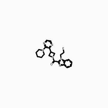 O=C(c1nc2ccccc2n1CCF)N1CC(c2nccnc2N2CCCCC2)C1